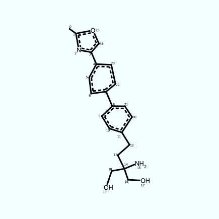 Cc1nc(-c2ccc(-c3ccc(CCC(N)(CO)CO)cc3)cc2)co1